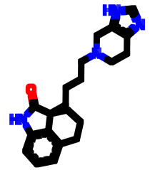 O=C1Nc2cccc3c2C1(CCCCN1CCc2nc[nH]c2C1)CCC3